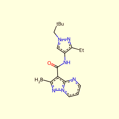 Bc1nn2cccnc2c1C(=O)Nc1cn(CC(C)(C)C)nc1CC